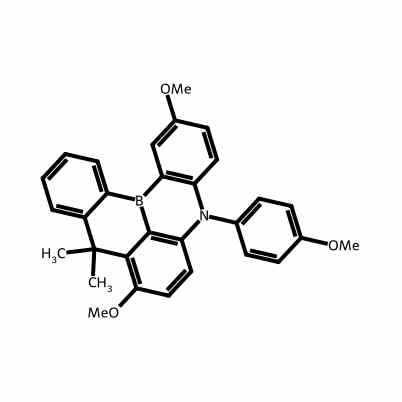 COc1ccc(N2c3ccc(OC)cc3B3c4ccccc4C(C)(C)c4c(OC)ccc2c43)cc1